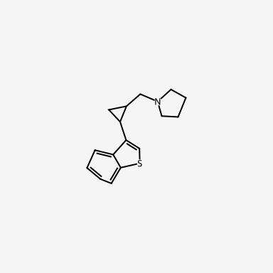 c1ccc2c(C3CC3CN3CCCC3)csc2c1